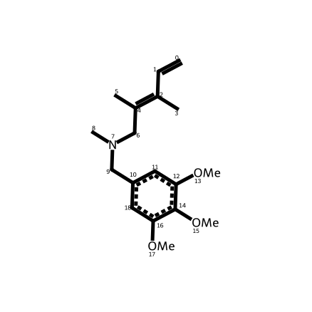 C=C/C(C)=C(\C)CN(C)Cc1cc(OC)c(OC)c(OC)c1